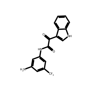 Nc1cc(NC(=O)C(=O)c2c[nH]c3ccccc23)cc(C(F)(F)F)c1